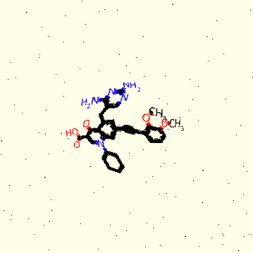 COc1cccc(C#Cc2cc(Cc3cnc(N)nc3N)c3c(=O)c(C(=O)O)cn(C4CCCCC4)c3c2)c1OC